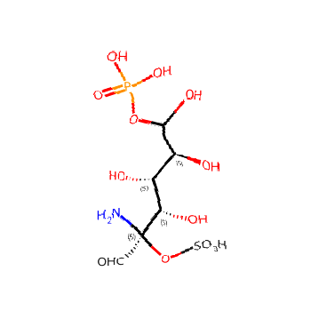 N[C@](C=O)(OS(=O)(=O)O)[C@@H](O)[C@H](O)[C@H](O)C(O)OP(=O)(O)O